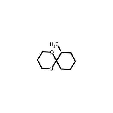 C[C@H]1CCCCC12OCCCO2